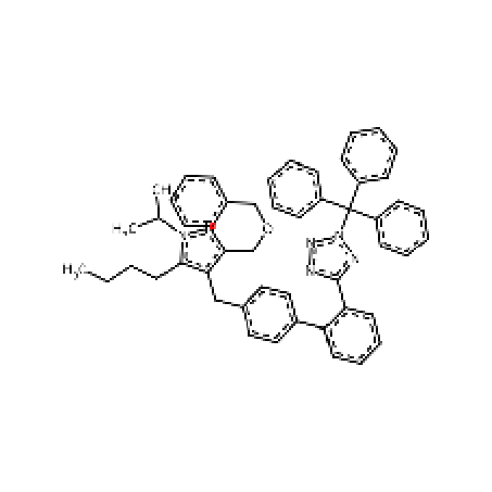 CCCCc1c(Cc2ccc(-c3ccccc3-c3nnn(C(c4ccccc4)(c4ccccc4)c4ccccc4)n3)cc2)c(COCc2ccccc2)nn1C(C)C